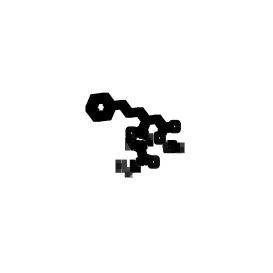 CC(C)(C)OC(=O)CC(CCCc1ccccc1)c1nc(C(N)=O)no1